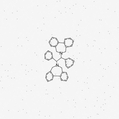 c1ccc(C(C(c2ccccc2)N2Cc3ccccc3-c3ccccc3C2)N2Cc3ccccc3-c3ccccc3C2)cc1